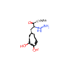 COC(=O)C(Cc1ccc(O)c(O)c1)NN